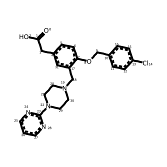 O=C(O)Cc1ccc(OCc2ccc(Cl)cc2)c(CN2CCN(c3ncccn3)CC2)c1